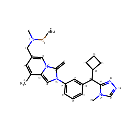 C=C1N2C=C(CN(C)SCCCC)C=C(C(F)(F)F)C2=CN1c1cccc(C(c2nncn2C)C2CCC2)c1